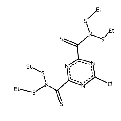 CCSN(SCC)C(=S)c1nc(Cl)nc(C(=S)N(SCC)SCC)n1